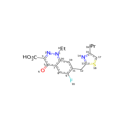 CCn1nc(C(=O)O)c(=O)c2cc(F)c(Cc3nc(C(C)C)cs3)cc21